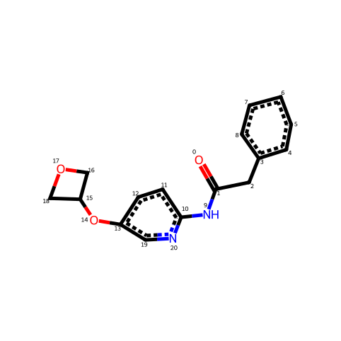 O=C(Cc1ccccc1)Nc1ccc(OC2COC2)cn1